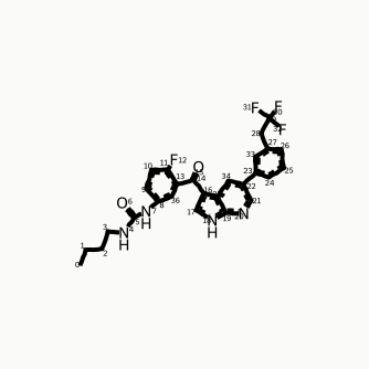 CCCCNC(=O)Nc1ccc(F)c(C(=O)c2c[nH]c3ncc(-c4cccc(CC(F)(F)F)c4)cc23)c1